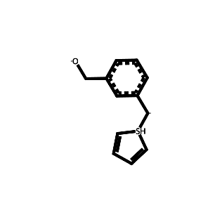 [O]Cc1cccc([CH][SH]2C=CC=C2)c1